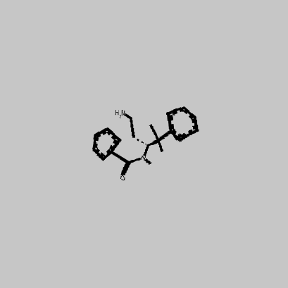 CN(C(=O)c1ccccc1)[C@H](CCN)C(C)(C)c1ccccc1